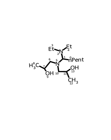 CCCCCC(N(CC)CC)N(CC(C)O)CC(C)O